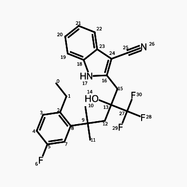 CCc1ccc(F)cc1C(C)(C)CC(O)(Cc1[nH]c2ccccc2c1C#N)C(F)(F)F